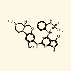 COc1cc2c(cc1Nc1nc(Nc3ccccc3NS(C)(=O)=O)c3c(Cl)c[nH]c3n1)OC[C@H]1CN(C)CCN21